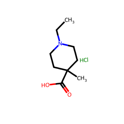 CCN1CCC(C)(C(=O)O)CC1.Cl